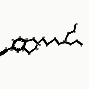 CCCN(CCC)CCCCN1CCc2cc(C#N)ccc2C1